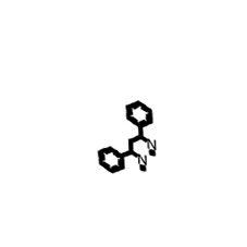 C=NC(CC(N=C)c1ccccc1)c1ccccc1